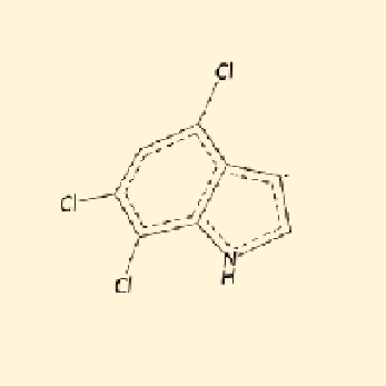 Clc1cc(Cl)c2[c]c[nH]c2c1Cl